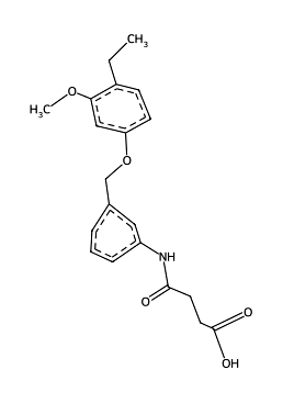 CCc1ccc(OCc2cccc(NC(=O)CCC(=O)O)c2)cc1OC